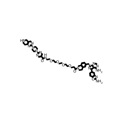 Nc1nc2cc(-c3nn(Cc4ccc5c(c4)CCN(C(=O)CCOCCOCCOCCOCCNC(=O)c4cnc(N6CCN(c7ncc8c(n7)CCNC8)CC6)nc4)C5)c4ncnc(N)c34)ccc2o1